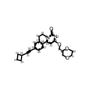 O=c1nc(OC[C@@H]2COCCO2)cc2n1CCc1cc(C#CC3CCC3)ccc1-2